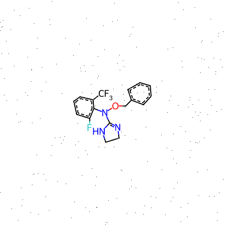 Fc1cccc(C(F)(F)F)c1N(OCc1ccccc1)C1=NCCN1